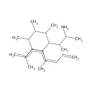 C=C/C=C\C(=C/C=C)C(C(C)C(C)N)C(C)C(C)C(C)C(/C=C\C)=C/C